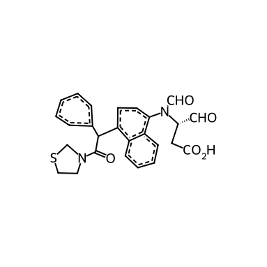 O=C[C@H](CC(=O)O)N(C=O)c1ccc(C(C(=O)N2CCSC2)c2ccccc2)c2ccccc12